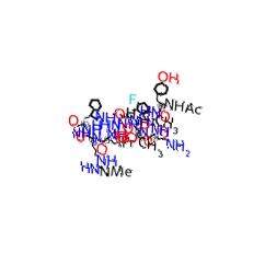 CNC(=N)NCCC[C@H](NC(=O)[C@H](CC(C)C)NC(=O)NNC(=O)[C@H](Cc1ccccc1F)NC(=O)[C@@H](NC(=O)[C@H](CC(N)=O)NC(=O)C(C)(C)NC(=O)[C@@H](Cc1ccc(O)cc1)NC(C)=O)[C@@H](C)O)C(=O)N[C@@H](Cc1c[nH]c2ccccc12)C(N)=O